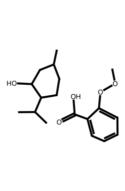 CC1CCC(C(C)C)C(O)C1.COOc1ccccc1C(=O)O